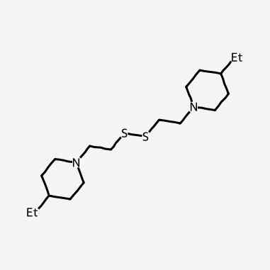 CCC1CCN(CCSSCCN2CCC(CC)CC2)CC1